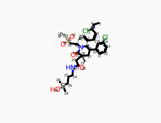 C=C(/C=C\C(Cl)=C/C)[C@@H]1C(c2cccc(Cl)c2)C[C@](C)(CC(=O)NCCC[Si](C)(C)O)C(=O)N1[C@H](CS(=O)(=O)C(C)C)C(C)C